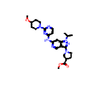 COC(=O)C1CCN(c2nn(C(C)C)c3cc(Nc4ccnc(N5CCC(OC)CC5)n4)ncc23)C1